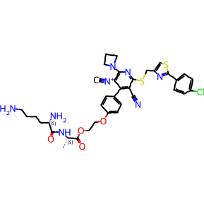 [C-]#[N+]c1c(N2CCC2)nc(SCc2csc(-c3ccc(Cl)cc3)n2)c(C#N)c1-c1ccc(OCCOC(=O)[C@H](C)NC(=O)[C@@H](N)CCCCN)cc1